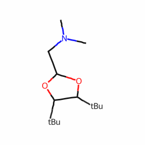 CN(C)CC1OC(C(C)(C)C)C(C(C)(C)C)O1